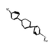 CCCCCCOc1ccc(C2CCC(c3ccc(C#N)cc3)CC2)cc1